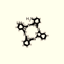 Nc1cccc2c3nc4nc(nc5[nH]c(nc6nc(nc([nH]3)c12)-c1ccccc1-6)c1ccccc51)-c1ccccc1-4.[LiH]